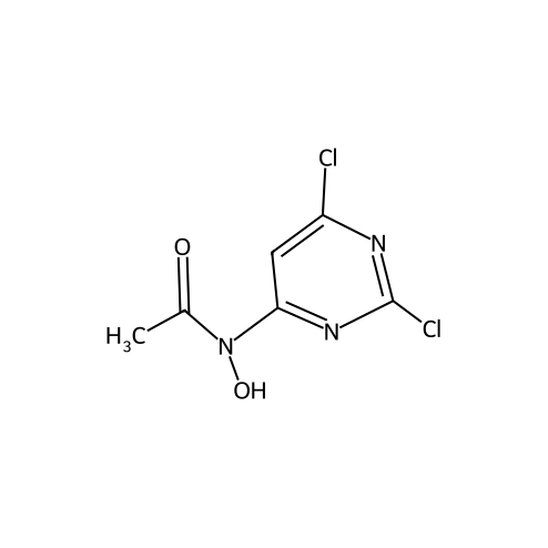 CC(=O)N(O)c1cc(Cl)nc(Cl)n1